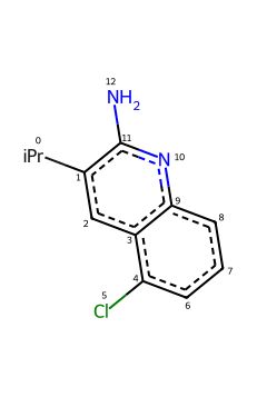 CC(C)c1cc2c(Cl)cccc2nc1N